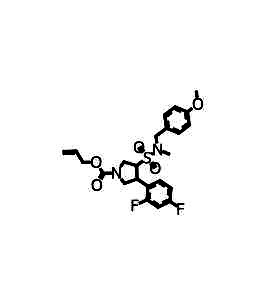 C=CCOC(=O)N1CC(c2ccc(F)cc2F)C(S(=O)(=O)N(C)Cc2ccc(OC)cc2)C1